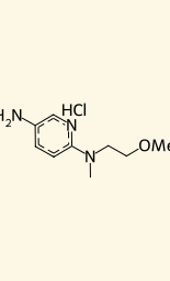 COCCN(C)c1ccc(N)cn1.Cl